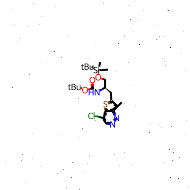 Cc1c(C[C@H](CO[Si](C)(C)C(C)(C)C)NC(=O)OC(C)(C)C)sc2c(Cl)cnnc12